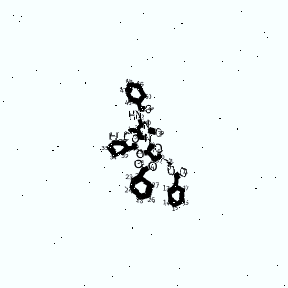 C=Cc1cn([C@@H]2O[C@H](COC(=O)c3ccccc3)C(OC(=O)c3ccccc3)C2OC(=O)c2ccccc2)c(=O)nc1NC(=O)c1ccccc1